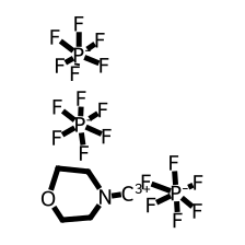 F[P-](F)(F)(F)(F)F.F[P-](F)(F)(F)(F)F.F[P-](F)(F)(F)(F)F.[C+3]N1CCOCC1